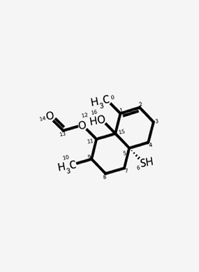 CC1=CCC[C@@]2(S)CCC(C)C(OC=O)C12O